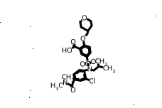 CC(C)CN(c1ccc(C(=O)N(C)C)cc1Cl)S(=O)(=O)c1ccc(OCC2CCOCC2)c(C(=O)O)c1